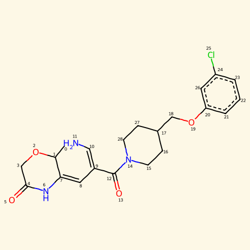 CC1OCC(=O)N/C1=C/C(=C\N)C(=O)N1CCC(COc2cccc(Cl)c2)CC1